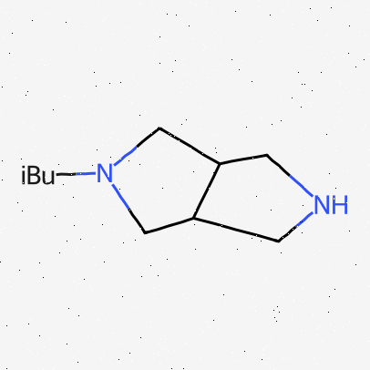 CCC(C)N1CC2CNCC2C1